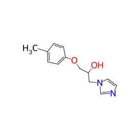 Cc1ccc(OCC(O)Cn2ccnc2)cc1